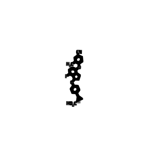 Cc1cc(C#N)ccc1Oc1ccc(F)c2c1CCC2Oc1ccc(C2C[C@@H]2C(=O)O)cc1